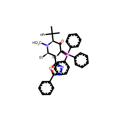 CCCC(C)(C)[C@@H](C(=O)C(C#N)=P(c1ccccc1)(c1ccccc1)c1ccccc1)N(C(=O)O)[C@H](CC)Cc1nnc(-c2ccccc2)o1